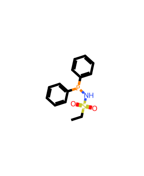 CCS(=O)(=O)NP(c1ccccc1)c1ccccc1